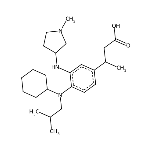 CC(C)CN(c1ccc(C(C)CC(=O)O)cc1NC1CCN(C)C1)C1CCCCC1